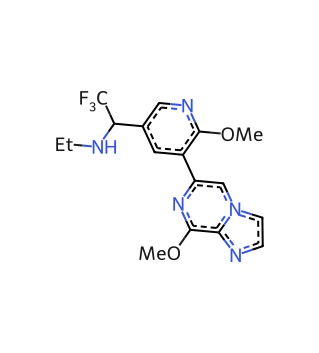 CCNC(c1cnc(OC)c(-c2cn3ccnc3c(OC)n2)c1)C(F)(F)F